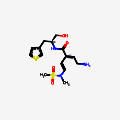 CN(C=C/C(=C\CN)C(=O)N[C@H](CO)Cc1ccsc1)S(C)(=O)=O